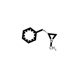 CN1C[C@H]1Cc1ccccc1